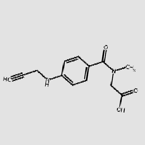 C#CCNc1ccc(C(=O)N(C)CC(=O)O)cc1